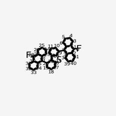 Fc1c2ccccc2c(-c2cccc3c2sc2cccc(-c4c5ccccc5c(F)c5ccccc45)c23)c2ccccc12